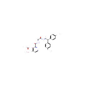 COc1ccc(C(c2ccc(OC)cc2)[C@H](C)NC(=O)[C@H](C)NC(=O)c2nccc(OC)c2OC(=O)C(C)C)cc1